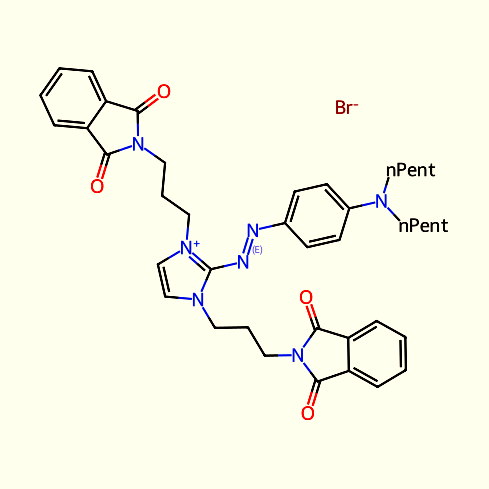 CCCCCN(CCCCC)c1ccc(/N=N/c2n(CCCN3C(=O)c4ccccc4C3=O)cc[n+]2CCCN2C(=O)c3ccccc3C2=O)cc1.[Br-]